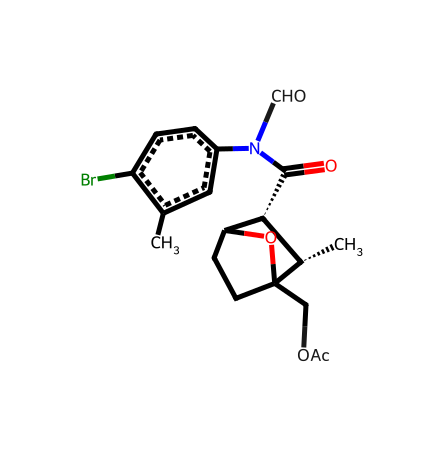 CC(=O)OCC12CCC(O1)[C@H](C(=O)N(C=O)c1ccc(Br)c(C)c1)[C@@H]2C